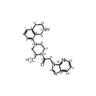 CC1CN(c2cccc3c2CNCC3)CCN1C(=O)Cn1cnc2cccnc21